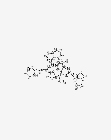 CN(c1nc(OC[C@@]23CCCN2C[C@H](F)C3)nc2c(F)c(-c3cccc4cccc(Cl)c34)ncc12)[C@@H]1CCN(C(=O)C#CC2COCCN2)C1